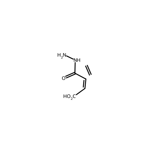 C=C.NNC(=O)/C=C\C(=O)O